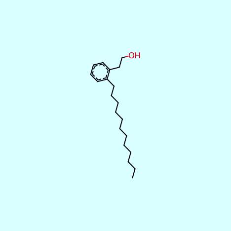 CCCCCCCCCCCCc1ccccc1CCO